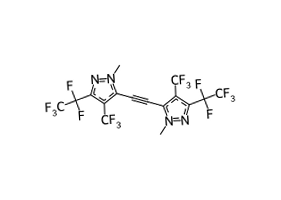 Cn1nc(C(F)(F)C(F)(F)F)c(C(F)(F)F)c1C#Cc1c(C(F)(F)F)c(C(F)(F)C(F)(F)F)nn1C